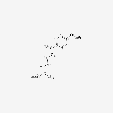 CCCOc1ccc(C(=O)OO[CH]CC(C)OC)cc1